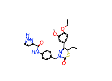 CCOc1ccc(C2=NN(Cc3ccc(NC(=O)c4cc[nH]n4)cc3)C(=O)SC2CC)cc1OC